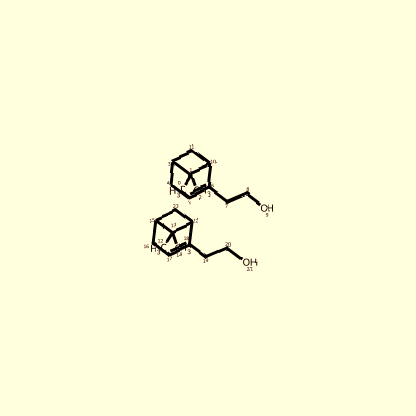 CC1(C)C2CC=C(CCO)C1C2.CC1(C)C2CC=C(CCO)C1C2